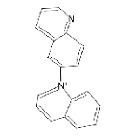 c1cnc2ccc(-[n+]3cccc4ccccc43)cc2c1